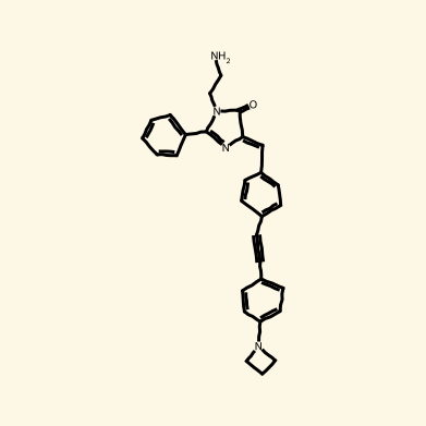 NCCN1C(=O)/C(=C/c2ccc(C#Cc3ccc(N4CCC4)cc3)cc2)N=C1c1ccccc1